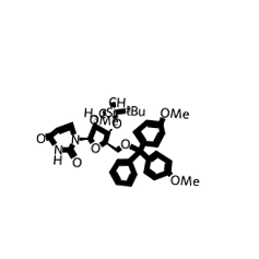 COc1ccc(C(OC[C@H]2O[C@@H](n3ccc(=O)[nH]c3=O)[C@H](OC)[C@@H]2O[Si](C)(C)C(C)(C)C)(c2ccccc2)c2ccc(OC)cc2)cc1